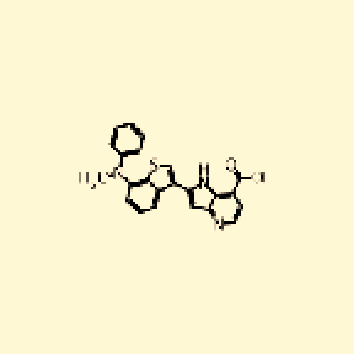 CN(c1ccccc1)c1cccc2c(-c3cc4nccc(C(=O)O)c4[nH]3)csc12